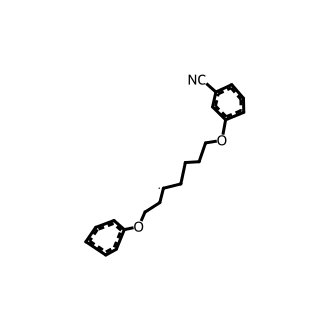 N#Cc1cccc(OCCCC[CH]CCOc2ccccc2)c1